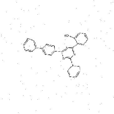 Oc1ccccc1-c1nc(-c2ccc(-c3ccccc3)cc2)nc(C2C=CC=CC2)n1